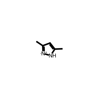 CC1=CC(C)=[N+]N1